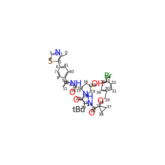 Cc1ncsc1-c1ccc([C@H](C)NC(=O)[C@@H]2CC(O)CN2C(=O)C(NC(=O)C2(OCc3ccc(Br)cc3)CC2)C(C)(C)C)cc1